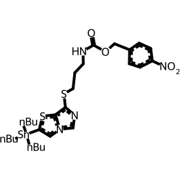 CCC[CH2][Sn]([CH2]CCC)([CH2]CCC)[c]1cn2cnc(SCCCNC(=O)OCc3ccc([N+](=O)[O-])cc3)c2s1